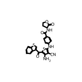 N#Cc1c(Nc2ccc(C(=O)NC3CCOC3=O)cc2)sc(C(=O)c2csc3ccccc23)c1N